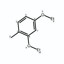 [CH2]c1ccc(OCC)cc1OCC